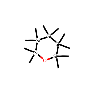 C[Si]1(C)O[Si](C)(C)[Si](C)(C)[Si](C)(C)[Si]1(C)C